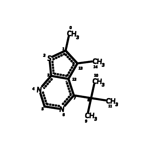 Cc1sc2ncnc(C(C)(C)C)c2c1C